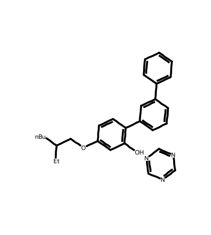 CCCCC(CC)COc1ccc(-c2cccc(-c3ccccc3)c2)c(O)c1.c1ncncn1